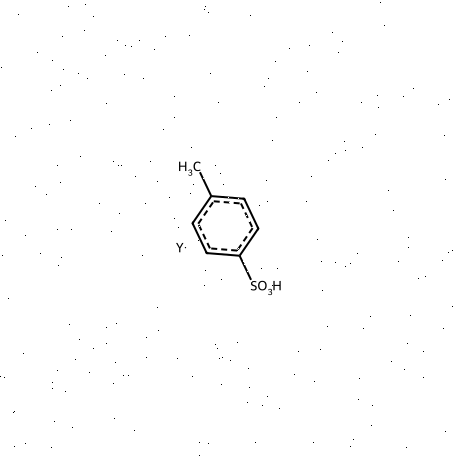 Cc1ccc(S(=O)(=O)O)cc1.[Y]